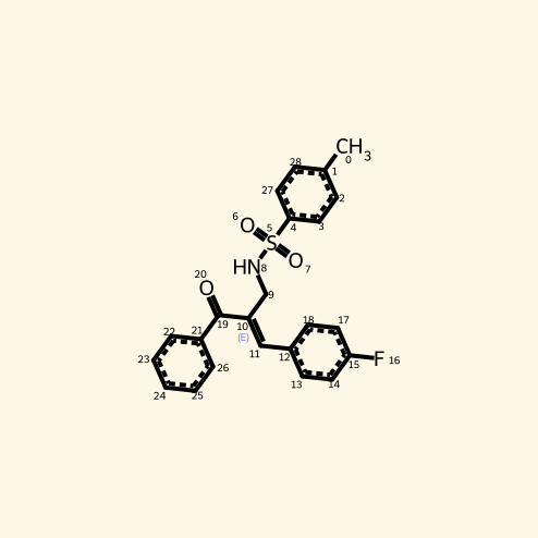 Cc1ccc(S(=O)(=O)NC/C(=C\c2ccc(F)cc2)C(=O)c2ccccc2)cc1